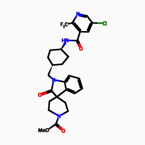 COC(=O)N1CCC2(CC1)C(=O)N(C[C@H]1CC[C@H](NC(=O)c3cc(Cl)cnc3C(F)(F)F)CC1)c1ccccc12